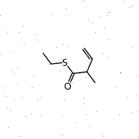 C=CC(C)C(=O)SCC